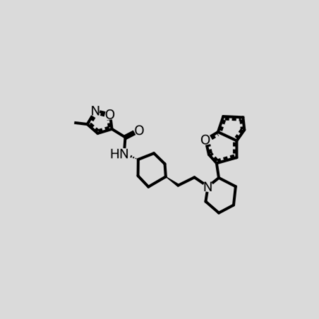 Cc1cc(C(=O)N[C@H]2CC[C@H](CCN3CCCCC3c3coc4cccc-4c3)CC2)on1